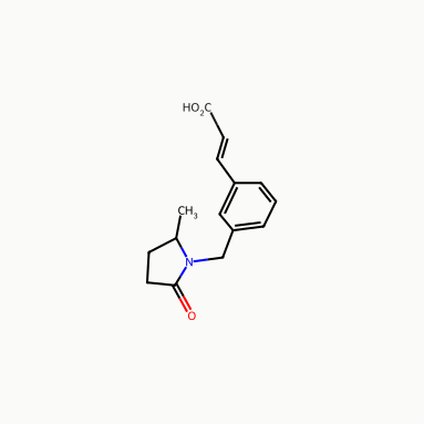 CC1CCC(=O)N1Cc1cccc(/C=C/C(=O)O)c1